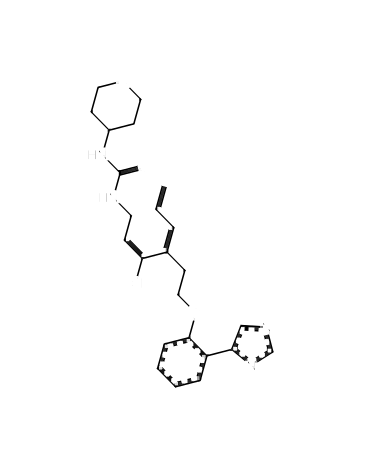 C=C/C=C(CCOc1ccccc1-c1c[nH]cn1)\C(Cl)=C/CNC(=O)NC1CCOCC1